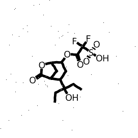 CCC(O)(CC)C1CC(OC(=O)C(F)(F)S(=O)(=O)O)C2CC1C(=O)O2